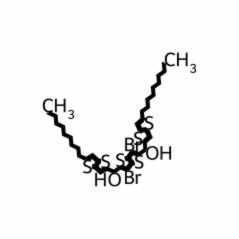 CCCCCCCCCCc1cc2sc(C(O)c3sc4c(Br)c(C(O)c5cc6sc(CCCCCCCCCC)cc6s5)sc4c3Br)cc2s1